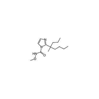 CCCCC(C)(CCC)c1nccn1C(=O)NOC